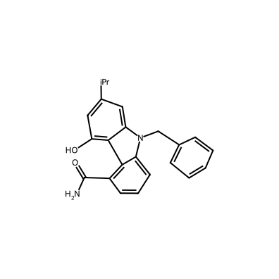 CC(C)c1cc(O)c2c3c(C(N)=O)cccc3n(Cc3ccccc3)c2c1